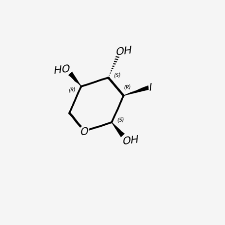 O[C@@H]1[C@@H](I)[C@@H](O)OC[C@H]1O